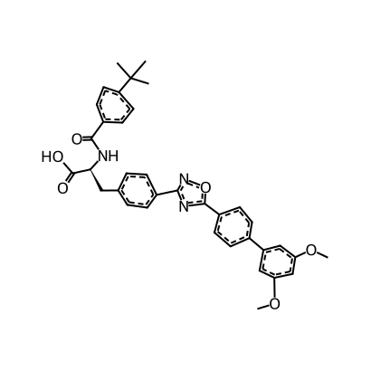 COc1cc(OC)cc(-c2ccc(-c3nc(-c4ccc(C[C@H](NC(=O)c5ccc(C(C)(C)C)cc5)C(=O)O)cc4)no3)cc2)c1